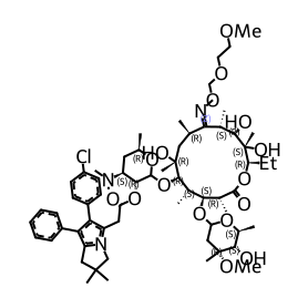 CC[C@H]1OC(=O)[C@H](C)[C@@H](OC2C[C@@](C)(OC)[C@@H](O)[C@H](C)O2)[C@H](C)[C@@H](OC2O[C@H](C)C[C@H](N(C)C)[C@H]2OC(=O)Cc2c(-c3ccc(Cl)cc3)c(-c3ccccc3)c3n2CC(C)(C)C3)[C@](C)(O)C[C@@H](C)/C(=N/OCOCCOC)[C@H](C)[C@@H](O)[C@]1(C)O